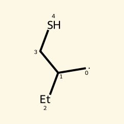 [CH2]C(CC)CS